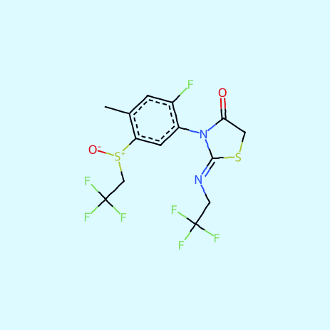 Cc1cc(F)c(N2C(=O)CSC2=NCC(F)(F)F)cc1[S+]([O-])CC(F)(F)F